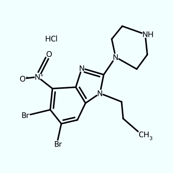 CCCn1c(N2CCNCC2)nc2c([N+](=O)[O-])c(Br)c(Br)cc21.Cl